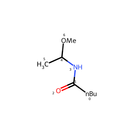 CCCCC(=O)NC(C)OC